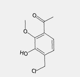 COc1c(C(C)=O)ccc(CCl)c1O